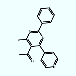 CC(=O)c1c(C)nc(-c2ccccc2)nc1-c1ccncc1